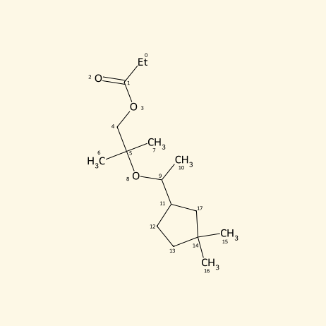 CCC(=O)OCC(C)(C)OC(C)C1CCC(C)(C)C1